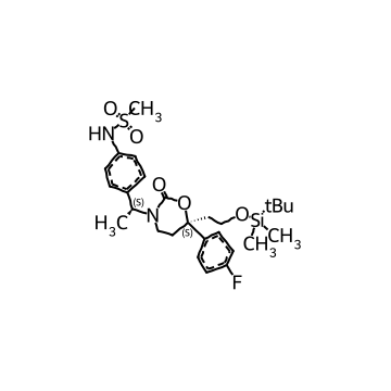 C[C@@H](c1ccc(NS(C)(=O)=O)cc1)N1CC[C@](CCO[Si](C)(C)C(C)(C)C)(c2ccc(F)cc2)OC1=O